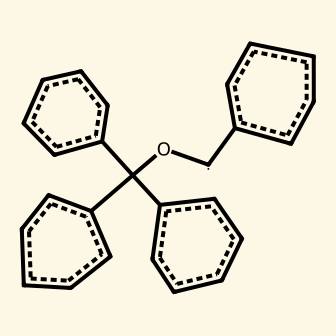 [CH](OC(c1ccccc1)(c1ccccc1)c1ccccc1)c1ccccc1